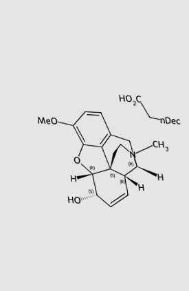 CCCCCCCCCCCC(=O)O.COc1ccc2c3c1O[C@H]1[C@@H](O)C=C[C@H]4[C@@H](C2)N(C)CC[C@@]341